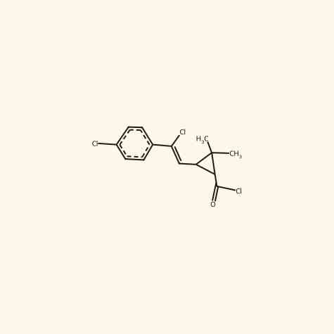 CC1(C)C(C=C(Cl)c2ccc(Cl)cc2)C1C(=O)Cl